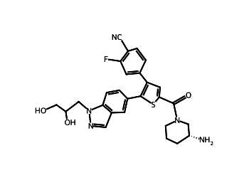 N#Cc1ccc(-c2cc(C(=O)N3CCC[C@@H](N)C3)sc2-c2ccc3c(cnn3CC(O)CO)c2)cc1F